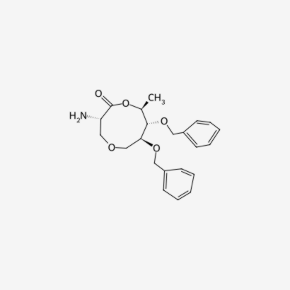 C[C@@H]1OC(=O)[C@@H](N)COC[C@H](OCc2ccccc2)[C@H]1OCc1ccccc1